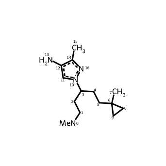 CNCCC(CCC1(C)CC1)n1cc(N)c(C)n1